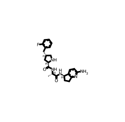 C[C@H](NC(=O)[C@H]1C[C@H](Cc2ccccc2F)CN1)C(=O)N[C@@H]1CCc2nc(N)ccc21